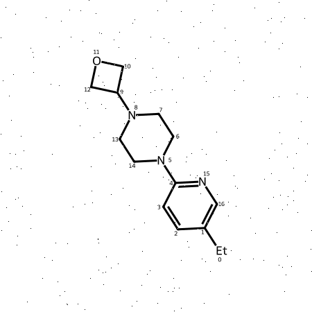 CCc1ccc(N2CCN(C3COC3)CC2)nc1